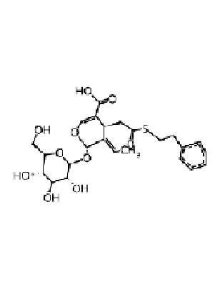 C/C=C1/[C@H](O[C@@H]2O[C@H](CO)[C@@H](O)[C@H](O)[C@H]2O)OC=C(C(=O)O)[C@H]1CC(=O)SCCc1ccccc1